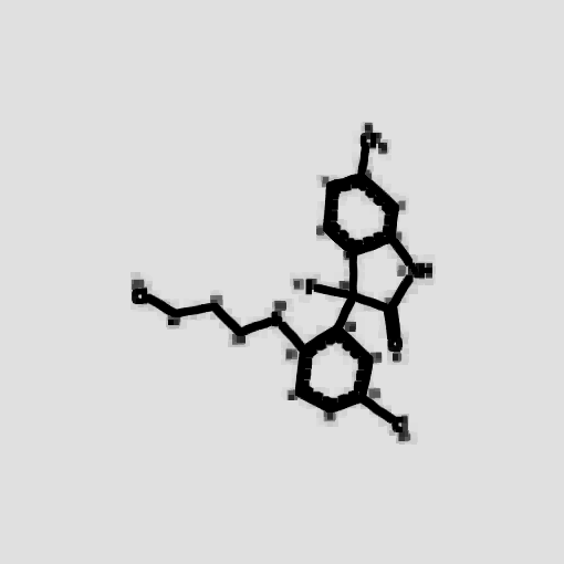 O=C1Nc2cc(C(F)(F)F)ccc2C1(F)c1cc(Cl)ccc1SCCCCl